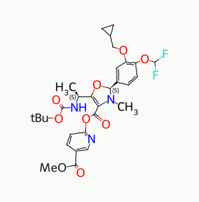 COC(=O)c1ccc(OC(=O)C2=C([C@H](C)NC(=O)OC(C)(C)C)O[C@@H](c3ccc(OC(F)F)c(OCC4CC4)c3)N2C)nc1